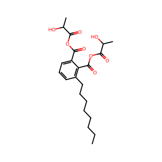 CCCCCCCCc1cccc(C(=O)OC(=O)C(C)O)c1C(=O)OC(=O)C(C)O